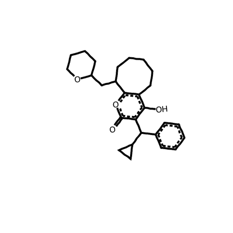 O=c1oc2c(c(O)c1C(c1ccccc1)C1CC1)CCCCCC2CC1CCCCO1